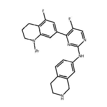 CC(C)N1CCCc2c(F)cc(-c3nc(Nc4ccc5c(c4)CNCC5)ncc3F)cc21